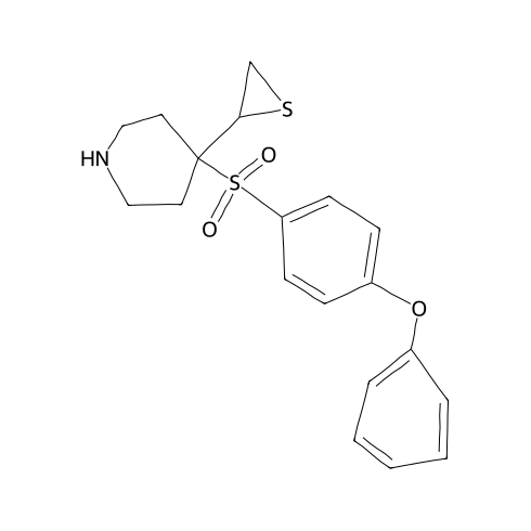 O=S(=O)(c1ccc(Oc2ccccc2)cc1)C1(C2CS2)CCNCC1